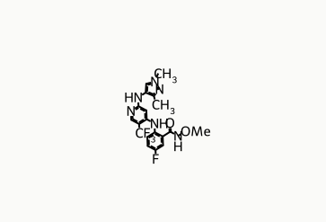 CONC(=O)c1cc(F)ccc1Nc1cc(Nc2cn(C)nc2C)ncc1C(F)(F)F